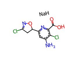 Nc1cc(C2CC(Cl)=NO2)nc(C(=O)O)c1Cl.[NaH]